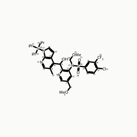 COCc1cnc(C(O)c2c(C)cnc3c2ccn3[Si](C(C)C)(C(C)C)C(C)C)c(N(COC)S(=O)(=O)c2ccc(Cl)c(C(F)(F)F)c2)c1